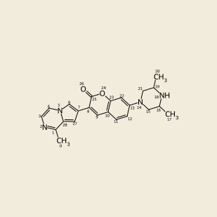 Cc1nccn2cc(-c3cc4ccc(N5CC(C)NC(C)C5)cc4oc3=O)cc12